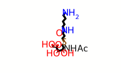 CC(=O)N[C@@H]1[C@@H](O)[C@@H](O)[C@@H](CO)O[C@@H]1SCCC(=O)NCCCCCN